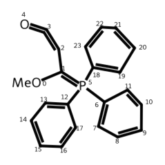 COC(C=C=O)=P(c1ccccc1)(c1ccccc1)c1ccccc1